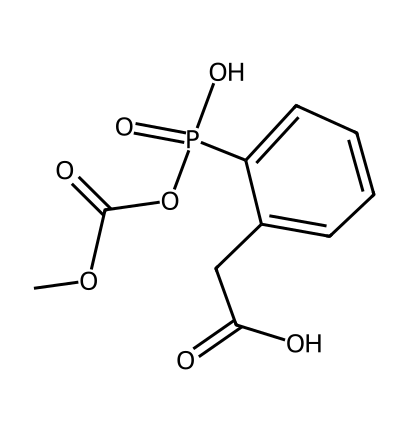 COC(=O)OP(=O)(O)c1ccccc1CC(=O)O